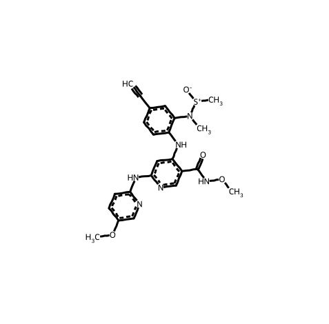 C#Cc1ccc(Nc2cc(Nc3ccc(OC)cn3)ncc2C(=O)NOC)c(N(C)[S+](C)[O-])c1